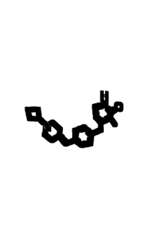 Cc1c(Cc2ccc(C=C3CCN(C4CCC4)CC3)cc2)cc[nH]c1=O